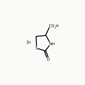 O=C1NC(C(=O)O)CS1.[Zn]